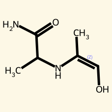 C/C(=C/O)NC(C)C(N)=O